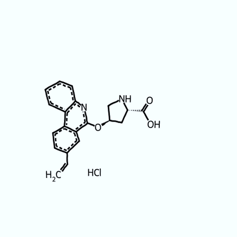 C=Cc1ccc2c(c1)c(O[C@H]1CN[C@H](C(=O)O)C1)nc1ccccc12.Cl